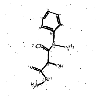 NNC(=O)C(O)C(=O)N(N)c1ccccc1